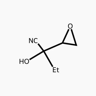 CCC(O)(C#N)C1CO1